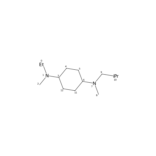 CCN(C)C1CCC(N(C)CC(C)C)CC1